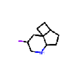 IC1CNC2CCC3CCC32C1